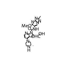 COc1nc2nc(C)nn2cc1NC(=O)N1CCc2c(N3CCN[C@@H](C)C3)ccnc21.O=CO